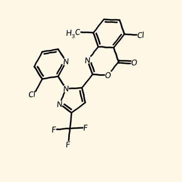 Cc1ccc(Cl)c2c(=O)oc(-c3cc(C(F)(F)F)nn3-c3ncccc3Cl)nc12